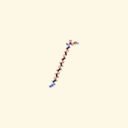 CN(CCOCCOCCOCCOCCOCCOCCN=[N+]=[N-])C(=O)OC(C)(C)C